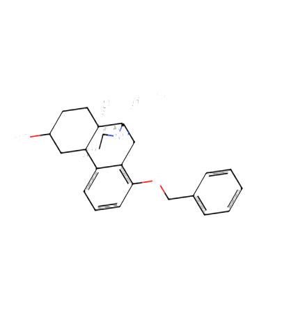 F.OC1CC[C@H]2[C@H]3Cc4c(OCc5ccccc5)cccc4[C@@]2(CCN3)C1